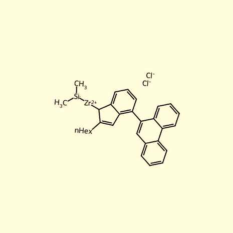 CCCCCCC1=Cc2c(-c3cc4ccccc4c4ccccc34)cccc2[CH]1[Zr+2][Si](C)C.[Cl-].[Cl-]